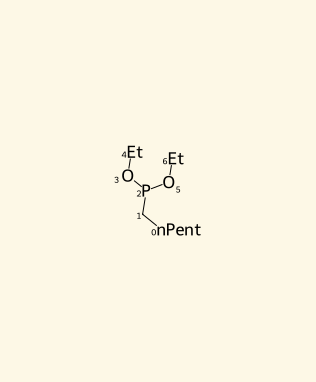 CCCCCCP(OCC)OCC